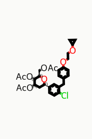 CC(=O)OC[C@H]1O[C@H](c2ccc(Cl)c(Cc3ccc(OCCOC4CC4)cc3)c2)C[C@@H](OC(C)=O)[C@@H]1OC(C)=O